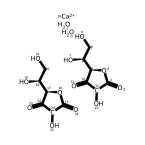 O.O.O=C1O[C@H]([C@@H](O)CO)C(=O)[C-]1O.O=C1O[C@H]([C@@H](O)CO)C(=O)[C-]1O.[Ca+2]